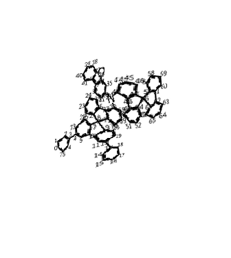 c1ccc(-c2ccc(C3(c4ccc(-c5ccccc5)cc4)c4ccccc4-c4c(N(c5ccc6c(c5)oc5ccccc56)c5cccc6c5-c5ccccc5C65c6ccccc6-c6ccccc65)cccc43)cc2)cc1